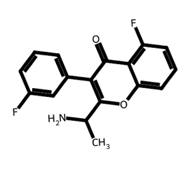 CC(N)c1oc2cccc(F)c2c(=O)c1-c1cccc(F)c1